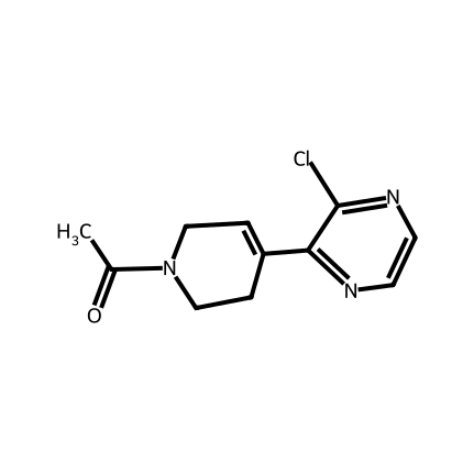 CC(=O)N1CC=C(c2nccnc2Cl)CC1